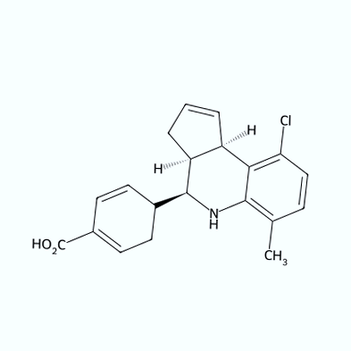 Cc1ccc(Cl)c2c1N[C@@H](C1C=CC(C(=O)O)=CC1)[C@H]1CC=C[C@@H]21